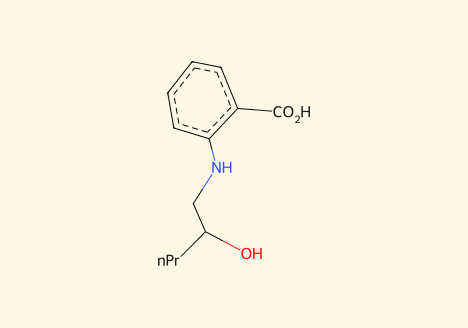 CCCC(O)CNc1ccccc1C(=O)O